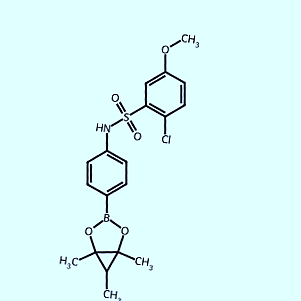 COc1ccc(Cl)c(S(=O)(=O)Nc2ccc(B3OC4(C)C(C)C4(C)O3)cc2)c1